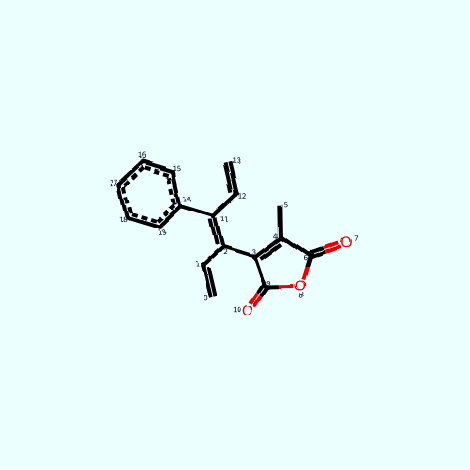 C=CC(C1=C(C)C(=O)OC1=O)=C(C=C)c1ccccc1